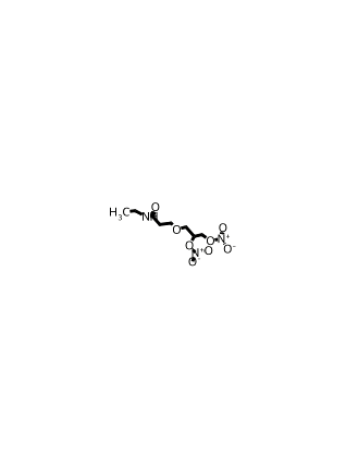 CCNC(=O)CCOCC(CO[N+](=O)[O-])O[N+](=O)[O-]